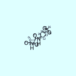 CC1C(=O)NC(=O)C1C(=O)Nc1ccc(S(C)(=O)=O)cc1